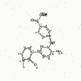 COC(=O)c1ccc(Nc2nc(-c3cccn(C)c3=O)ccc2N)cc1